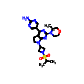 CC(C)S(=O)(=O)N1CC(N2CCc3c(-c4cnc(N)nc4)nc(N4CCOC[C@@H]4C)nc32)C1